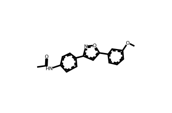 COc1cccc(-c2cc(-c3ccc(NC(C)=O)cc3)no2)c1